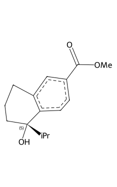 COC(=O)c1ccc2c(c1)CCC[C@]2(O)C(C)C